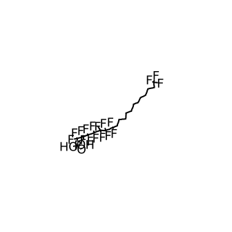 O=P(O)(O)C(F)(F)C(F)(F)C(F)(F)C(F)(F)C(F)(F)C(F)(F)C(F)(F)CCCCCCCCCCCC(F)(F)F